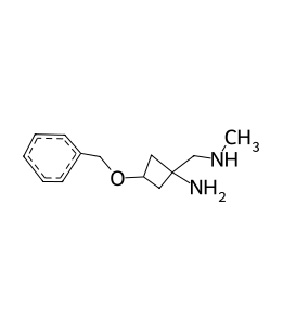 CNCC1(N)CC(OCc2ccccc2)C1